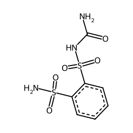 NC(=O)NS(=O)(=O)c1ccccc1S(N)(=O)=O